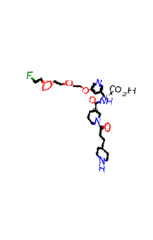 O=C(O)C[C@H](NC(=O)[C@@H]1CCCN(C(=O)CCC2CCNCC2)C1)c1cncc(OCCOCCOCCF)c1